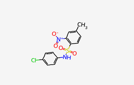 Cc1ccc(S(=O)(=O)Nc2ccc(Cl)cc2)c([N+](=O)[O-])c1